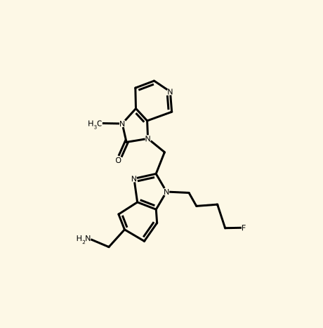 Cn1c(=O)n(Cc2nc3cc(CN)ccc3n2CCCCF)c2cnccc21